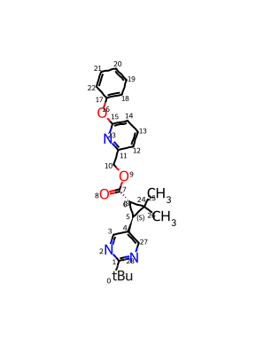 CC(C)(C)c1ncc([C@H]2[C@H](C(=O)OCc3cccc(Oc4ccccc4)n3)C2(C)C)cn1